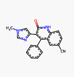 Cn1cnc(-c2c(-c3ccccc3)c3cc(C#N)ccc3[nH]c2=O)c1